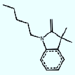 C=C1N(CCCCC)c2ccccc2C1(C)C